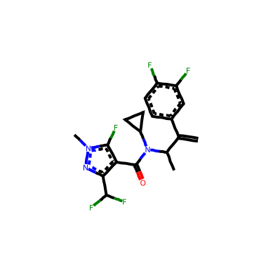 C=C(c1ccc(F)c(F)c1)C(C)N(C(=O)c1c(C(F)F)nn(C)c1F)C1CC1